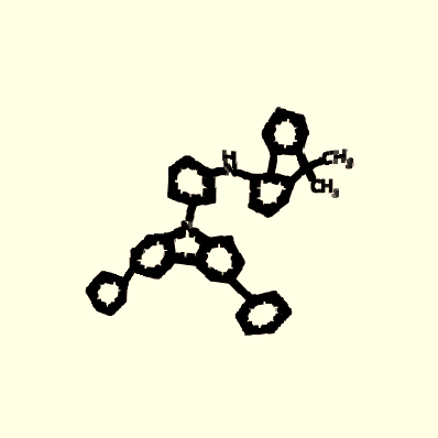 CC1(C)c2ccccc2-c2c(Nc3cccc(-n4c5ccc(-c6ccccc6)cc5c5cc(-c6ccccc6)ccc54)c3)cccc21